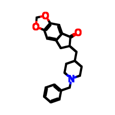 O=C1c2cc3c(cc2CC1CC1CCN(Cc2ccccc2)CC1)OCO3